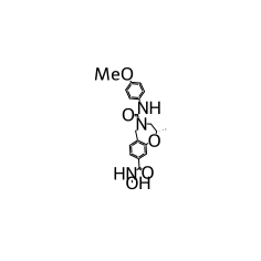 COc1ccc(NC(=O)N2Cc3ccc(C(=O)NO)cc3O[C@@H](C)C2)cc1